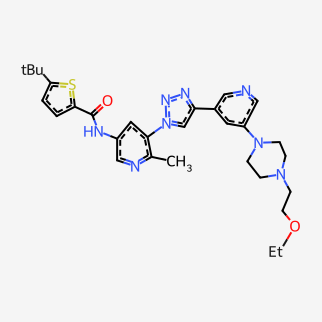 CCOCCN1CCN(c2cncc(-c3cn(-c4cc(NC(=O)c5ccc(C(C)(C)C)s5)cnc4C)nn3)c2)CC1